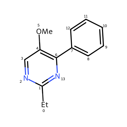 CCc1ncc(OC)c(-c2ccccc2)n1